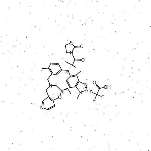 CC[C@@H]1CN(Cc2cc([C@@H](c3ccc4c(nnn4C)c3C)C(C)(C)C(=O)N3CCSC3=O)ccc2C)Cc2cnccc2O1.O=C(O)C(F)(F)F